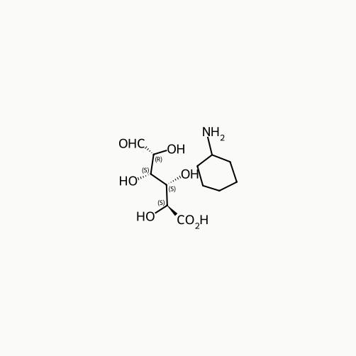 NC1CCCCC1.O=C[C@H](O)[C@@H](O)[C@H](O)[C@H](O)C(=O)O